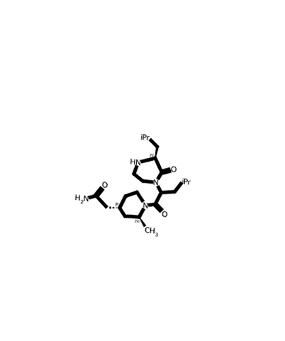 CC(C)CC(C(=O)N1CC[C@@H](CC(N)=O)C[C@@H]1C)N1CCN[C@@H](CC(C)C)C1=O